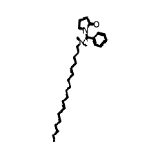 CCCCCCCCCCCCCCCCCC[N+](C)(C)C(c1ccccc1)N1CCCC1=O